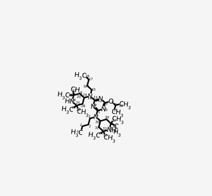 CCCCN(c1nc(OC(C)C)nc(N(CCCC)C2CC(C)(C)NC(C)(C)C2)n1)C1CC(C)(C)NC(C)(C)C1